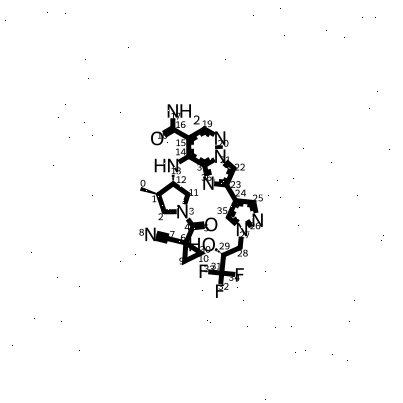 C[C@@H]1CN(C(=O)C2(C#N)CC2)C[C@H]1Nc1c(C(N)=O)cnn2cc(-c3cnn(C[C@@H](O)C(F)(F)F)c3)nc12